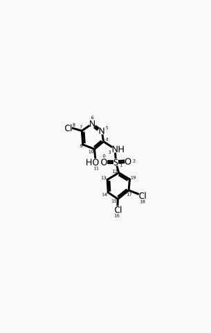 O=S(=O)(Nc1nnc(Cl)cc1O)c1ccc(Cl)c(Cl)c1